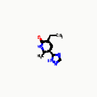 CCc1cc(-c2ncn[nH]2)c(C)[nH]c1=O